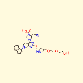 N#CC[C@H]1CN(c2nc(OC[C@@H]3C[C@@H](COCCOCCO)CN3)nc3c2CCN(c2cccc4ccccc24)C3)CCN1C(=O)O